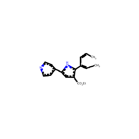 C/C=C\C(=C/C)c1[nH]c(-c2ccncc2)cc1C(=O)OCC